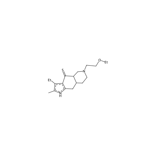 CCOCCN1CCC2Cc3[nH]c(C)c(CC)c3C(=S)C2C1